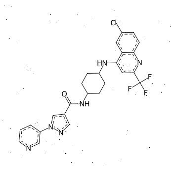 O=C(NC1CCC(Nc2cc(C(F)(F)F)nc3ccc(Cl)cc23)CC1)c1cnn(-c2cccnc2)c1